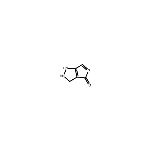 O=C1N=CC2=C1CNN2